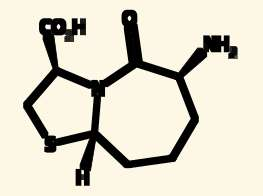 N[C@H]1CCC[C@@H]2SC[C@@H](C(=O)O)N2C1=O